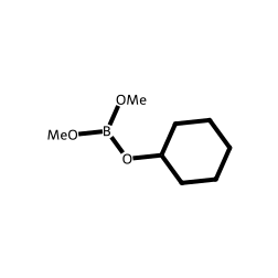 COB(OC)OC1CCCCC1